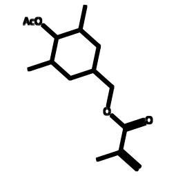 C=C(C)C(=O)OCC1CC(C)C(OC(C)=O)C(C)C1